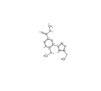 CCn1cnc(-c2cc(C(=O)OC)ccc2OC)n1